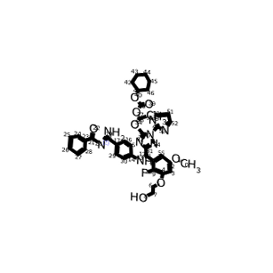 COc1cc(OCCO)c(F)c([C@@H](Nc2ccc(/C(N)=N/C(=O)c3ccccc3)cc2)c2nc(OC(C)OC(=O)OC3CCCCC3)n(-c3ncccn3)n2)c1